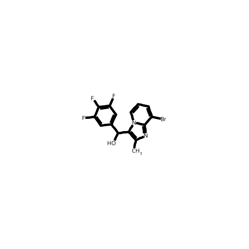 Cc1nc2c(Br)cccn2c1C(O)c1cc(F)c(F)c(F)c1